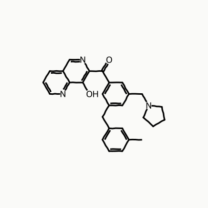 Cc1cccc(Cc2cc(CN3CCCC3)cc(C(=O)c3ncc4cccnc4c3O)c2)c1